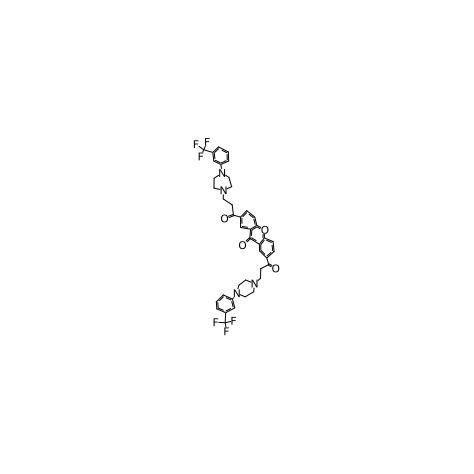 O=C(CCN1CCN(c2cccc(C(F)(F)F)c2)CC1)c1ccc2oc3ccc(C(=O)CCN4CCN(c5cccc(C(F)(F)F)c5)CC4)cc3c(=O)c2c1